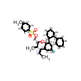 C=C[C@H](COS(=O)(=O)c1ccc(C)cc1)Oc1c(/C=C\C)cc(F)cc1-c1ccccc1-c1ccccc1